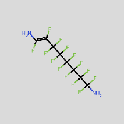 NC(F)=C(F)C(F)(F)C(F)(F)C(F)(F)C(F)(F)C(F)(F)C(N)(F)F